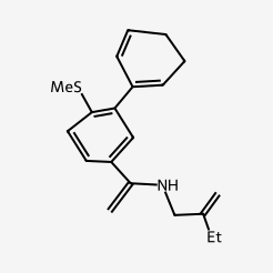 C=C(CC)CNC(=C)c1ccc(SC)c(C2=CCCC=C2)c1